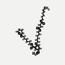 CCCCCCCOC(=O)CCC(=O)OCCCCCCOc1ccc(OC)cc1C(=O)OCCCCCCOC1CCCCO1